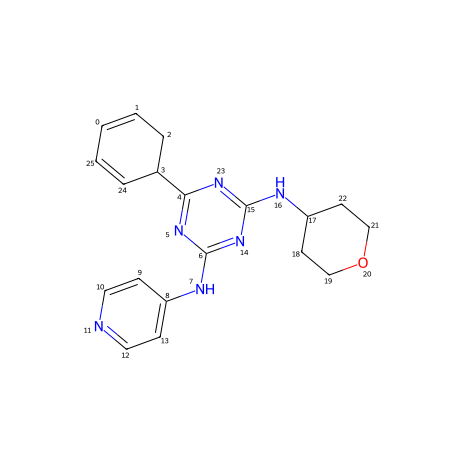 C1=CCC(c2nc(Nc3ccncc3)nc(NC3CCOCC3)n2)C=C1